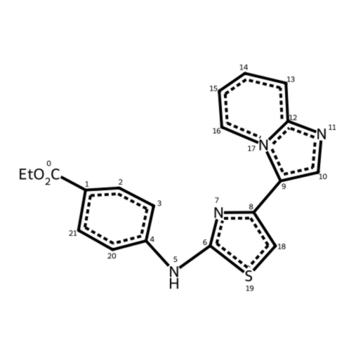 CCOC(=O)c1ccc(Nc2nc(-c3cnc4ccccn34)cs2)cc1